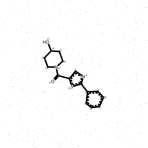 O=C(c1cnc(-c2ccccc2)s1)N1CCC(O)CC1